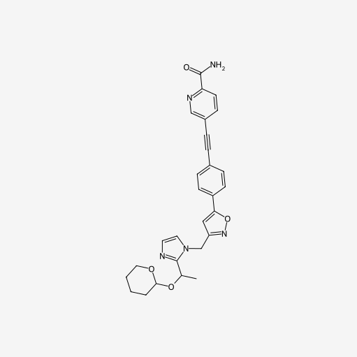 CC(OC1CCCCO1)c1nccn1Cc1cc(-c2ccc(C#Cc3ccc(C(N)=O)nc3)cc2)on1